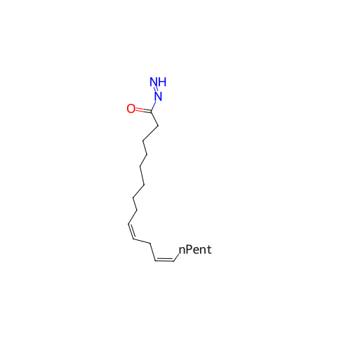 CCCCC/C=C\C/C=C\CCCCCCCC(=O)N=N